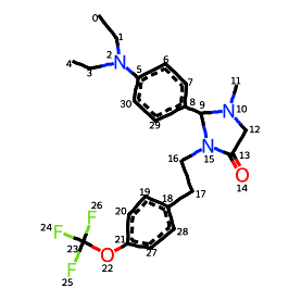 CCN(CC)c1ccc(C2N(C)CC(=O)N2CCc2ccc(OC(F)(F)F)cc2)cc1